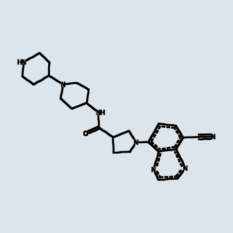 N#Cc1ccc(N2CCC(C(=O)NC3CCN(C4CCNCC4)CC3)C2)c2nccnc12